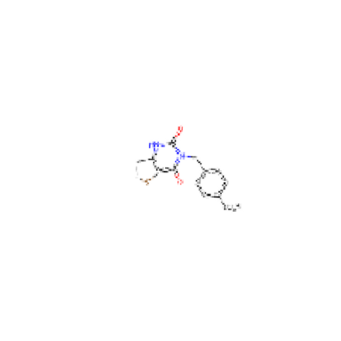 O=C(O)c1ccc(Cn2c(=O)[nH]c3c(c2=O)SCC3)cc1